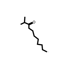 [CH2]CCCCCCCC(=O)C(C)C